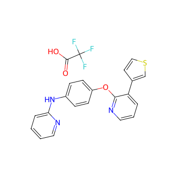 O=C(O)C(F)(F)F.c1ccc(Nc2ccc(Oc3ncccc3-c3ccsc3)cc2)nc1